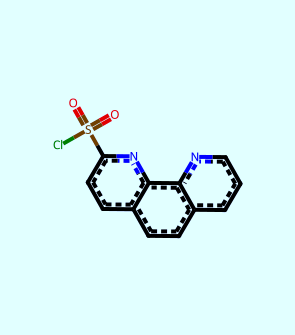 O=S(=O)(Cl)c1ccc2ccc3cccnc3c2n1